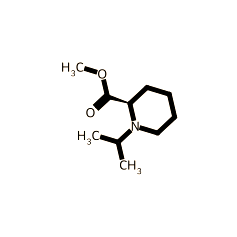 COC(=O)[C@H]1CCCCN1C(C)C